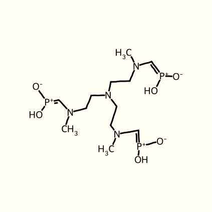 CN(/C=[P+](/[O-])O)CCN(CCN(C)/C=[P+](/[O-])O)CCN(C)/C=[P+](/[O-])O